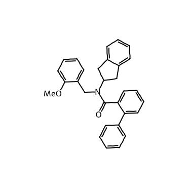 COc1ccccc1CN(C(=O)c1ccccc1-c1ccccc1)C1Cc2ccccc2C1